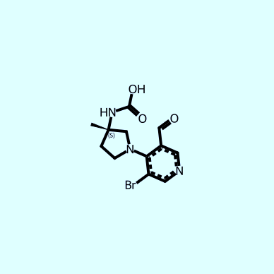 C[C@]1(NC(=O)O)CCN(c2c(Br)cncc2C=O)C1